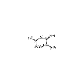 CCC(NC)SC(=N)NC(C)C